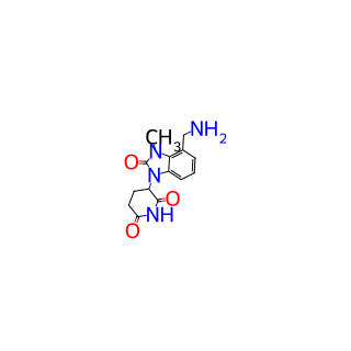 Cn1c(=O)n(C2CCC(=O)NC2=O)c2cccc(CN)c21